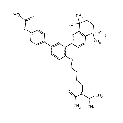 CC(=O)N(CCCCOc1ccc(-c2ccc(OC(=O)O)cc2)cc1-c1ccc2c(c1)C(C)(C)CCC2(C)C)C(C)C